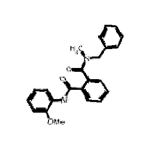 COc1ccccc1NC(=O)c1ccccc1C(=O)N(C)Cc1ccccc1